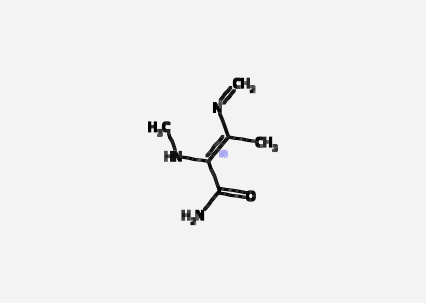 C=N/C(C)=C(\NC)C(N)=O